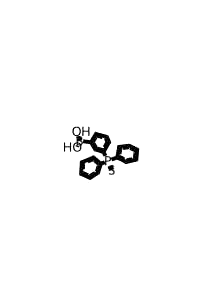 OB(O)c1cccc(P(=S)(c2ccccc2)c2ccccc2)c1